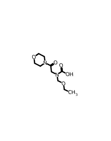 CCOCN(CC(=O)N1CCOCC1)C(=O)O